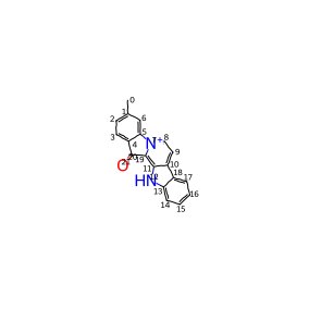 Cc1ccc2c(c1)-[n+]1ccc3c([nH]c4ccccc43)c1C2=O